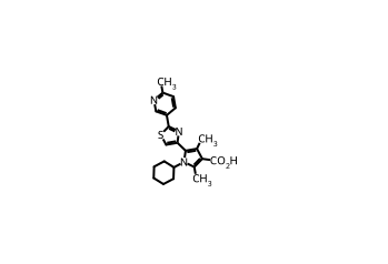 Cc1ccc(-c2nc(-c3c(C)c(C(=O)O)c(C)n3C3CCCCC3)cs2)cn1